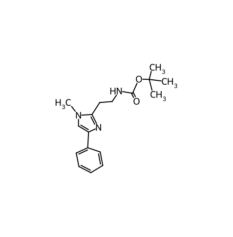 Cn1cc(-c2ccccc2)nc1CCNC(=O)OC(C)(C)C